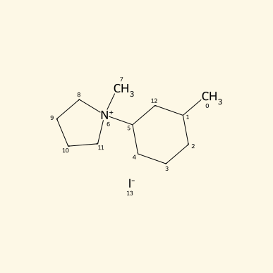 CC1CCCC([N+]2(C)CCCC2)C1.[I-]